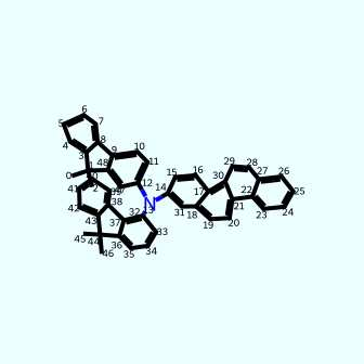 CC1(C)c2ccccc2-c2ccc(N(c3ccc4c(ccc5c6ccccc6ccc45)c3)c3cccc4c3-c3ccccc3C4(C)C)cc21